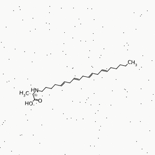 CCCCCC=CCC=CCC=CCC=CCCCCN[C@@H](C)C(=O)O